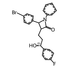 O=C1C(CC[C@H](O)c2ccc(F)cc2)C(c2ccc(Br)cc2)N1c1ccccc1